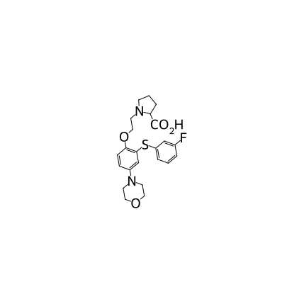 O=C(O)C1CCCN1CCOc1ccc(N2CCOCC2)cc1Sc1cccc(F)c1